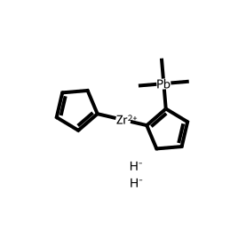 [CH3][Pb]([CH3])([CH3])[C]1=[C]([Zr+2][C]2=CC=CC2)CC=C1.[H-].[H-]